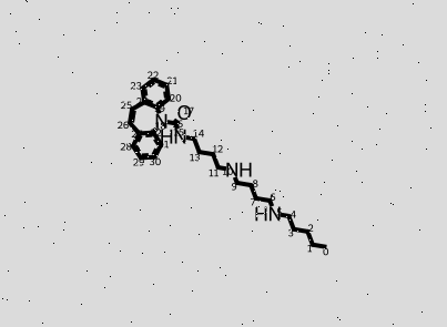 CCCCCNCCCCNCCCCNC(=O)N1c2ccccc2C=Cc2ccccc21